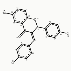 O=C1C(=Cc2ccc(Cl)cc2)C(c2ccc(Cl)cc2)Oc2ccc(O)cc21